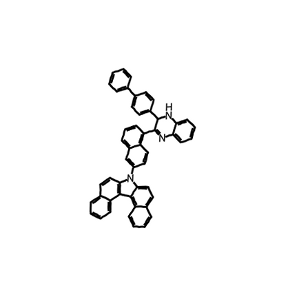 c1ccc(-c2ccc(C3Nc4ccccc4N=C3c3cccc4cc(-n5c6ccc7ccccc7c6c6c7ccccc7ccc65)ccc34)cc2)cc1